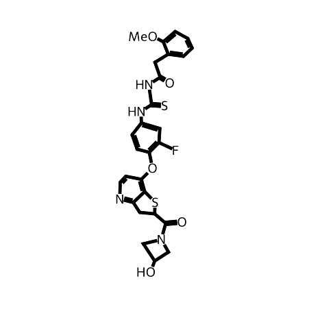 COc1ccccc1CC(=O)NC(=S)Nc1ccc(Oc2ccnc3c2SC(C(=O)N2CC(O)C2)C3)c(F)c1